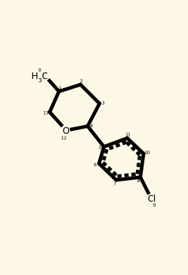 CC1CCC(c2ccc(Cl)cc2)OC1